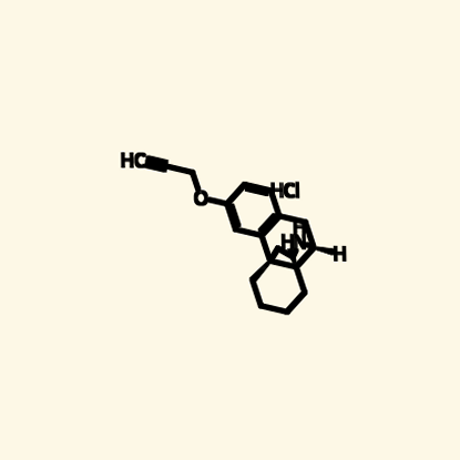 C#CCOc1ccc2c(c1)[C@@]13CCCC[C@H]1[C@@H](C2)NCC3.Cl